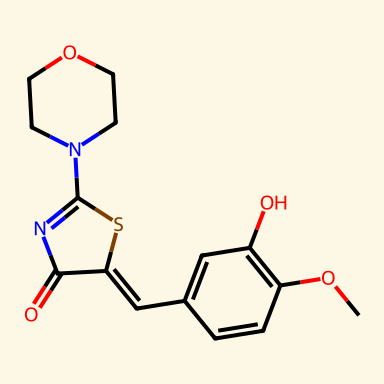 COc1ccc(/C=C2\SC(N3CCOCC3)=NC2=O)cc1O